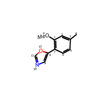 COc1cc(C)ccc1-c1cnco1